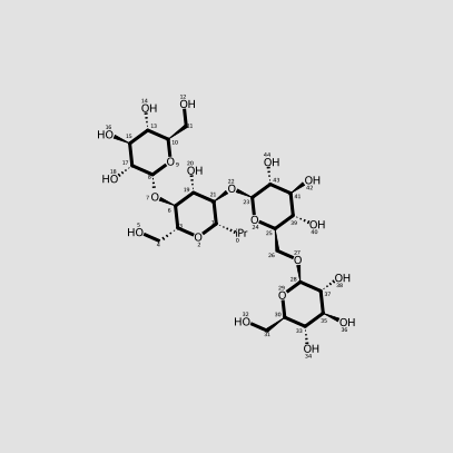 CC(C)[C@@H]1O[C@H](CO)[C@@H](O[C@H]2O[C@H](CO)[C@@H](O)[C@H](O)[C@H]2O)[C@H](O)[C@H]1O[C@@H]1O[C@H](CO[C@@H]2O[C@H](CO)[C@@H](O)[C@H](O)[C@H]2O)[C@@H](O)[C@H](O)[C@H]1O